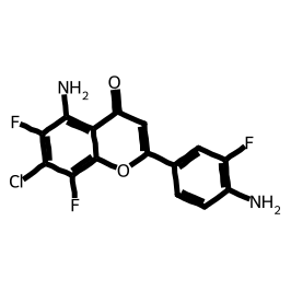 Nc1ccc(-c2cc(=O)c3c(N)c(F)c(Cl)c(F)c3o2)cc1F